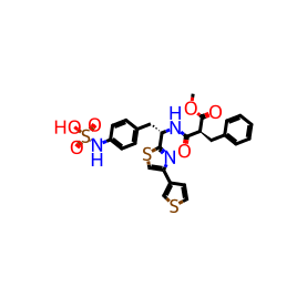 COC(=O)[C@@H](Cc1ccccc1)C(=O)N[C@@H](Cc1ccc(NS(=O)(=O)O)cc1)c1nc(-c2ccsc2)cs1